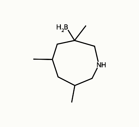 BC1(C)CNCC(C)CC(C)C1